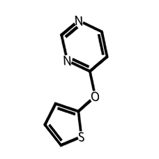 c1csc(Oc2ccncn2)c1